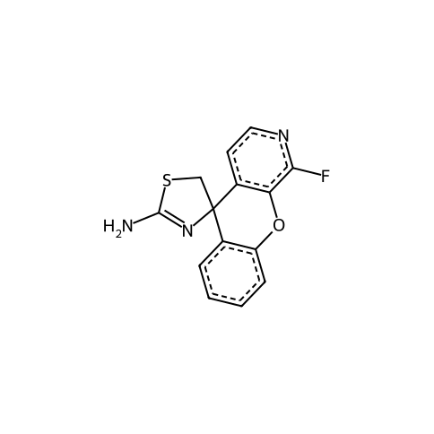 NC1=NC2(CS1)c1ccccc1Oc1c2ccnc1F